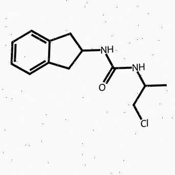 CC(CCl)NC(=O)NC1Cc2ccccc2C1